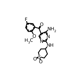 COc1ccc(F)cc1C(=O)c1cnc(NC2CCS(=O)(=O)CC2)nc1N